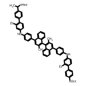 CCCCCCCCc1ccc(-c2ccc(Nc3ccc(-c4cc(C)c(-c5c(C)cc(-c6ccc(Nc7ccc(-c8ccc(C(C)CCCCCC)cc8)c(CC)c7)cc6)c6ccccc56)c5ccccc45)cc3)cc2CC)cc1